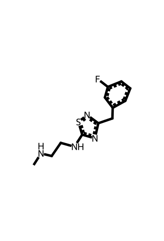 CNCCNc1nc(Cc2cccc(F)c2)ns1